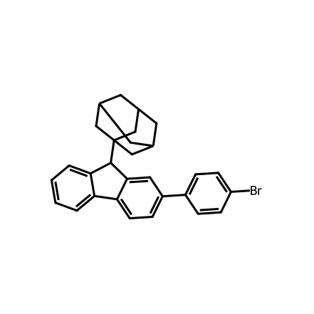 Brc1ccc(-c2ccc3c(c2)C(C24CC5CC(CC(C5)C2)C4)c2ccccc2-3)cc1